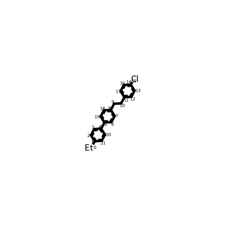 CCc1ccc(-c2ccc(CCc3ccc(Cl)cc3)cc2)cc1